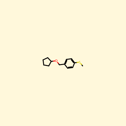 CSc1ccc(COC2CCCC2)cc1